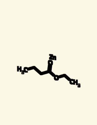 CCCC(=O)OCC.[Zn]